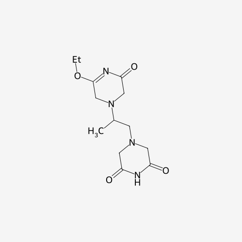 CCOC1=NC(=O)CN(C(C)CN2CC(=O)NC(=O)C2)C1